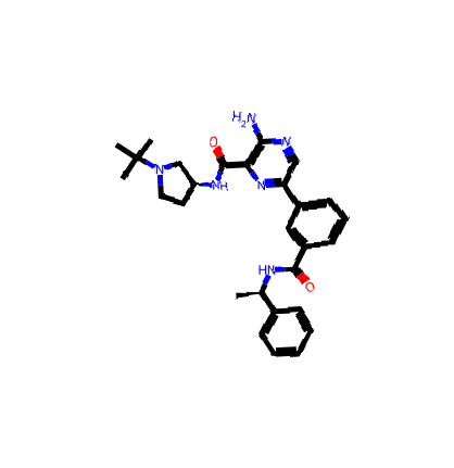 C[C@@H](NC(=O)c1cccc(-c2cnc(N)c(C(=O)N[C@H]3CCN(C(C)(C)C)C3)n2)c1)c1ccccc1